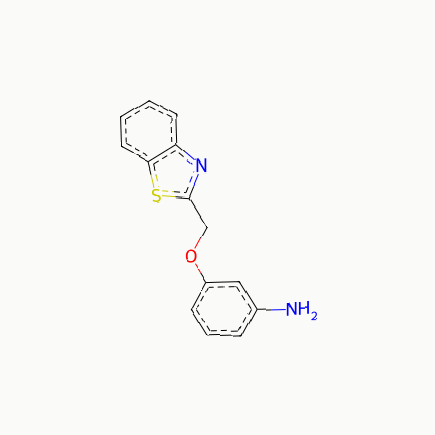 Nc1cccc(OCc2nc3ccccc3s2)c1